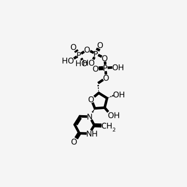 C=C1NC(=O)C=CN1[C@@H]1O[C@H](COP(=O)(O)OP(=O)(O)OP(=O)(O)O)[C@H](O)C1O